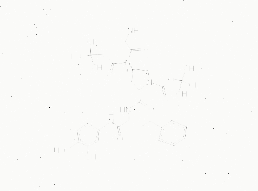 Cc1ccc(NC(=O)[C@@H](CCc2ccccc2)NC(=O)[C@@H]2C[C@@H](N(C(=O)CN)C(=O)OC(C)(C)C)CN2C(=O)OC(C)(C)C)cc1C